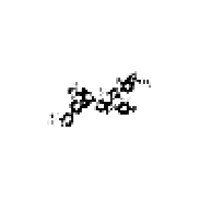 C[C@H]1c2c(nn(-c3ccc(F)c(F)c3)c2-n2ccn(-c3ccc4c(cnn4C)c3F)c2=O)CCN1C(=O)c1cc2cc([C@@H]3CCOC(C)(C)C3)ccn2c1C1(C2=NOCN2)CC1